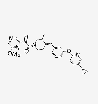 COc1cncc(NC(=O)N2CC/C(=C\c3cccc(Oc4ccc(C5CC5)cn4)c3)C(C)C2)n1